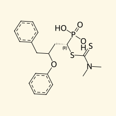 CN(C)C(=S)S[C@H](CC(Cc1ccccc1)Oc1ccccc1)P(=O)(O)O